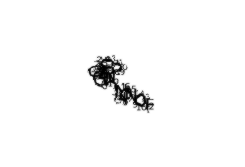 CC(CCN1CCN(c2ccc(F)cc2)CC1)N1c2cccc3cccc(c23)S1(=O)=O